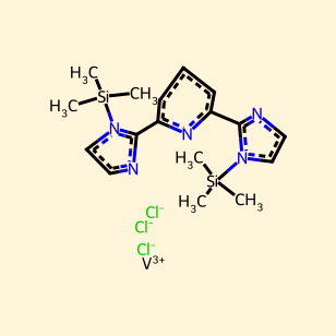 C[Si](C)(C)n1ccnc1-c1cccc(-c2nccn2[Si](C)(C)C)n1.[Cl-].[Cl-].[Cl-].[V+3]